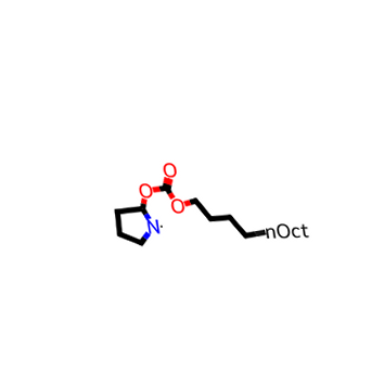 CCCCCCCCCCCCOC(=O)OC1CCC[N]1